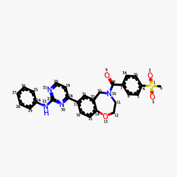 CS(=O)(=O)c1ccc(C(=O)N2CCOc3ccc(-c4ccnc(Nc5ccccc5)n4)cc3C2)cc1